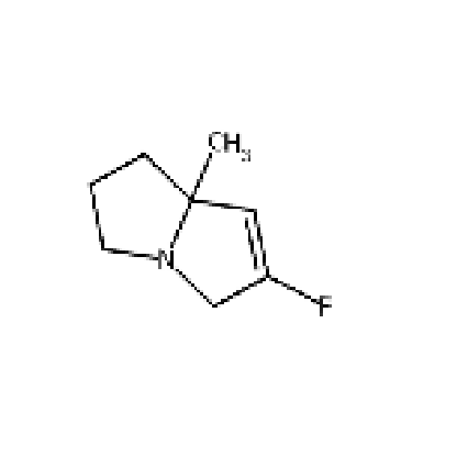 CC12C=C(F)CN1CCC2